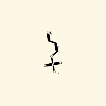 C=C/C=C\OS(C)(=O)=O